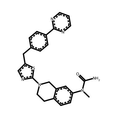 CN(C(N)=O)c1ccc2c(c1)CN(c1ncc(Cc3ccc(-c4ncccn4)cc3)s1)CC2